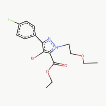 CCOCCn1nc(-c2ccc(F)cc2)c(Br)c1C(=O)OCC